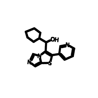 OC(c1c(-c2cccnc2)sc2cncn12)C1CCCCC1